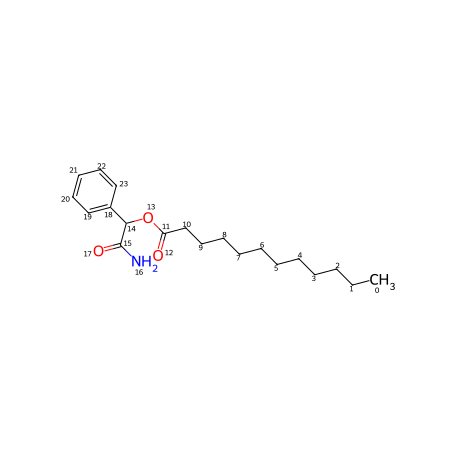 CCCCCCCCCCCC(=O)OC(C(N)=O)c1ccccc1